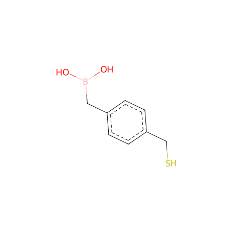 OB(O)Cc1ccc(CS)cc1